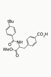 COC(=O)C(Cc1ccc(C(=O)O)cc1)NC(=O)c1ccc(C(C)(C)C)cc1